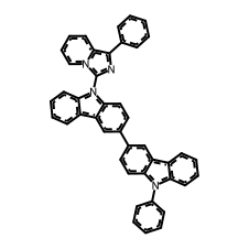 c1ccc(-c2nc(-n3c4ccccc4c4cc(-c5ccc6c(c5)c5ccccc5n6-c5ccccc5)ccc43)n3ccccc23)cc1